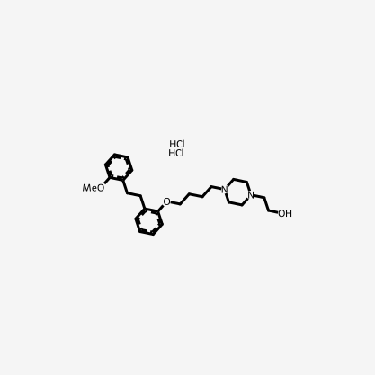 COc1ccccc1CCc1ccccc1OCCCCN1CCN(CCO)CC1.Cl.Cl